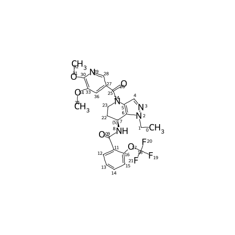 CCn1ncc2c1[C@@H](NC(=O)c1ccccc1OC(F)(F)F)CCN2C(=O)c1cnc(OC)c(OC)c1